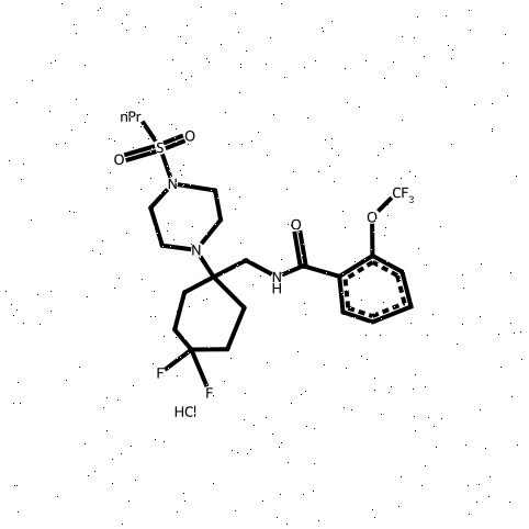 CCCS(=O)(=O)N1CCN(C2(CNC(=O)c3ccccc3OC(F)(F)F)CCC(F)(F)CC2)CC1.Cl